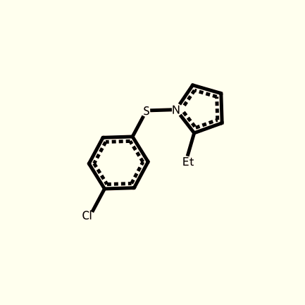 CCc1cccn1Sc1ccc(Cl)cc1